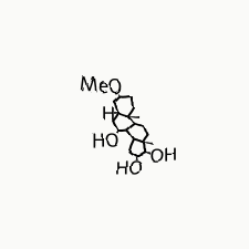 CO[C@H]1CC[C@]2(C)C3CC[C@@]4(C)C(C[C@H](O)[C@@H]4O)C3[C@@H](O)C[C@@H]2C1